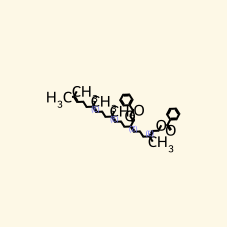 CC(C)=CCC/C(C)=C/CC/C(C)=C/CC/C(=C/CC/C(C)=C/COC(=O)c1ccccc1)COC(=O)c1ccccc1